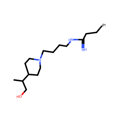 CC(C)CCC(=N)NCCCCN1CCC(C(C)CO)CC1